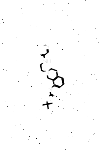 C[C@@H](CN1CCc2cccc(NC(=O)OC(C)(C)C)c2C1)NC(=O)/C=N\O